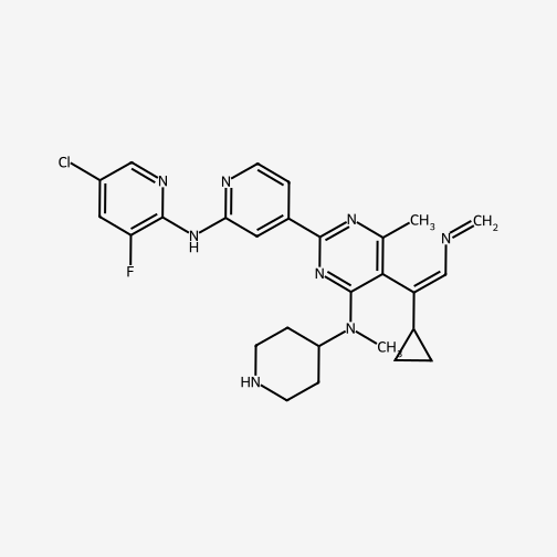 C=N/C=C(\c1c(C)nc(-c2ccnc(Nc3ncc(Cl)cc3F)c2)nc1N(C)C1CCNCC1)C1CC1